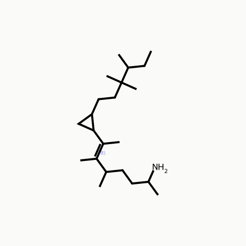 CCC(C)C(C)(C)CCC1CC1/C(C)=C(\C)C(C)CCC(C)N